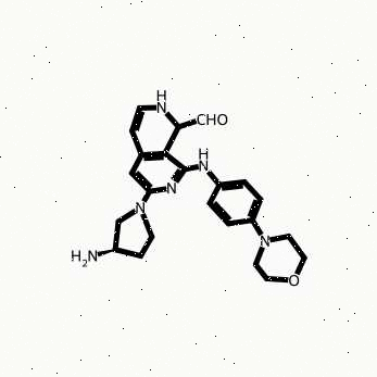 N[C@@H]1CCN(c2cc3c(c(Nc4ccc(N5CCOCC5)cc4)n2)C(C=O)NC=C3)C1